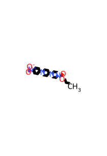 CCCCOC(=O)N1CCN(C2CCN(c3ccc([N+](=O)[O-])cc3)CC2)CC1